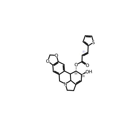 O=C(/C=C/c1cccs1)O[C@H]1C2c3cc4c(cc3CN3CCC(=C[C@@H]1O)C23)OCO4